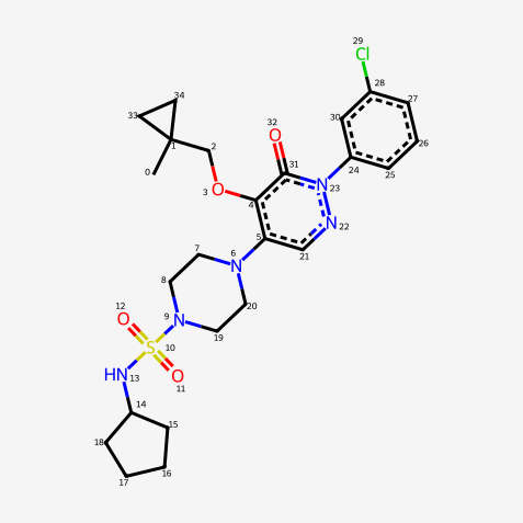 CC1(COc2c(N3CCN(S(=O)(=O)NC4CCCC4)CC3)cnn(-c3cccc(Cl)c3)c2=O)CC1